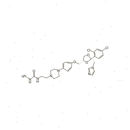 CCCNC(=O)NCCN1CCN(c2ccc(OC[C@@H]3CO[C@@](Cn4ccnc4)(c4ccc(Cl)cc4Cl)O3)cc2)CC1